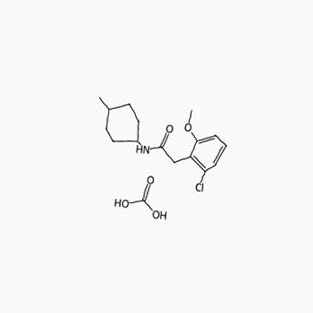 COc1cccc(Cl)c1CC(=O)NC1CCC(C)CC1.O=C(O)O